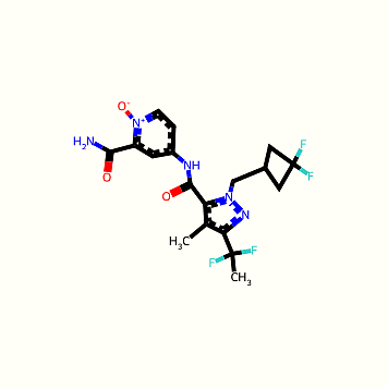 Cc1c(C(C)(F)F)nn(CC2CC(F)(F)C2)c1C(=O)Nc1cc[n+]([O-])c(C(N)=O)c1